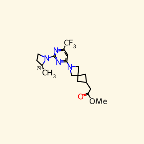 COC(=O)CC1CC2(C1)CN(c1cc(C(F)(F)F)nc(N3CC[C@@H]3C)n1)C2